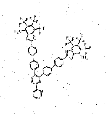 Cc1c(C(F)(F)F)c(C(F)(F)F)c(C(F)(F)F)c2oc(-c3ccc(-c4ccc(-c5ccc(-c6ccccn6)nc5-c5ccc(-c6ccc(-c7nc8c(C(F)(F)F)c(C(F)(F)F)c(C(F)(F)F)c(C)c8o7)cc6)cc5)cc4)cc3)nc12